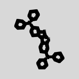 c1ccc(N(c2ccccc2)c2ccc3c(c2)sc2sc4cc(N(c5ccccc5)c5ccccc5)ccc4c23)cc1